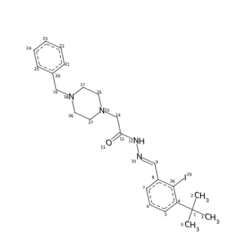 CC(C)(C)c1cccc(/C=N/NC(=O)CN2CCN(Cc3ccccc3)CC2)c1I